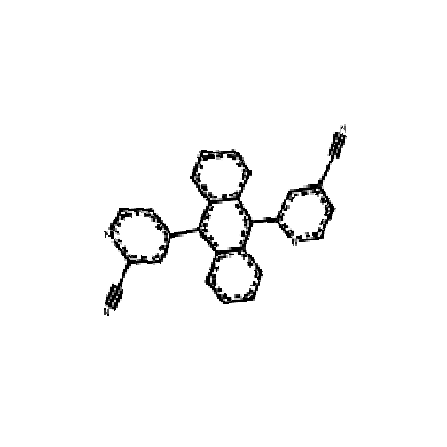 N#Cc1ccnc(-c2c3ccccc3c(-c3ccnc(C#N)c3)c3ccccc23)c1